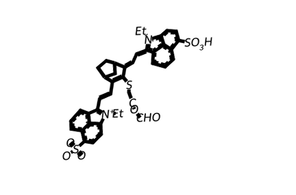 CCn1/c(=C/C=C2C(SCCOC=O)=C(/C=C/C3=[N+](CC)c4ccc(S(=O)(=O)[O-])c5cccc3c45)C3CCC/2C3)c2cccc3c(S(=O)(=O)O)ccc1c32